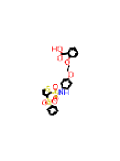 O=C(O)c1ccccc1OCCOc1ccc(NS(=O)(=O)c2sccc2S(=O)(=O)c2ccccc2)cc1